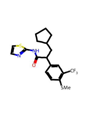 CSc1ccc(C(CC2CCCC2)C(=O)Nc2nccs2)cc1C(F)(F)F